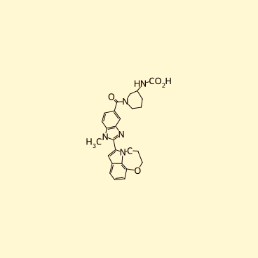 Cn1c(-c2cc3cccc4c3n2CCCO4)nc2cc(C(=O)N3CCCC(NC(=O)O)C3)ccc21